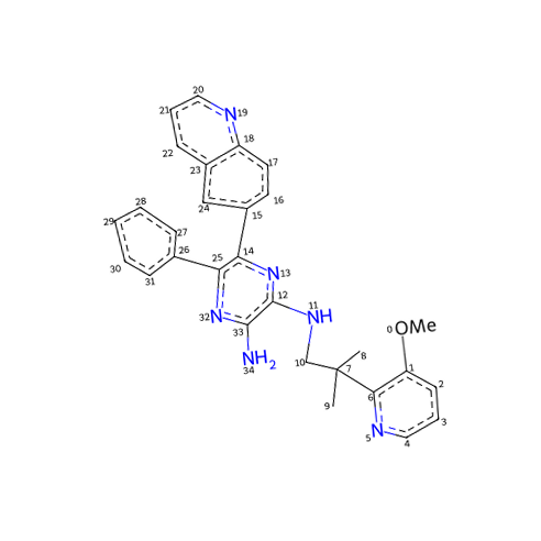 COc1cccnc1C(C)(C)CNc1nc(-c2ccc3ncccc3c2)c(-c2ccccc2)nc1N